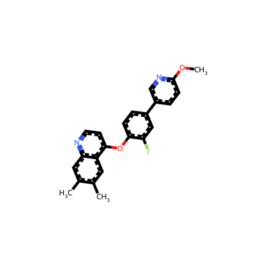 COc1ccc(-c2ccc(Oc3ccnc4cc(C)c(C)cc34)c(F)c2)cn1